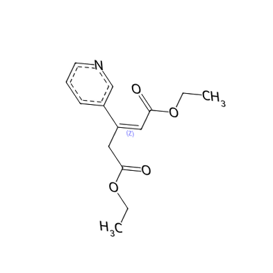 CCOC(=O)/C=C(/CC(=O)OCC)c1cccnc1